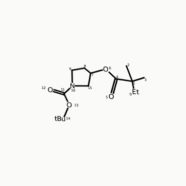 CCC(C)(C)C(=O)OC1CCN(C(=O)OC(C)(C)C)C1